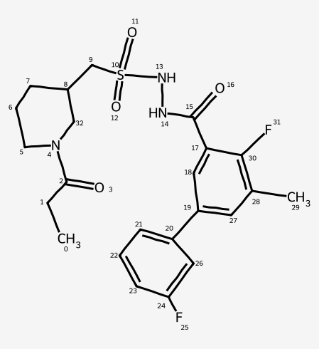 CCC(=O)N1CCCC(CS(=O)(=O)NNC(=O)c2cc(-c3cccc(F)c3)cc(C)c2F)C1